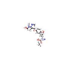 CC(C)(C)OC(=O)N[C@@H]1C2Oc3ccc(Oc4ccnc5c4CCC(=O)N5)cc3C21